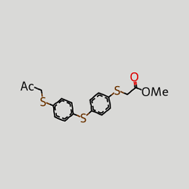 COC(=O)CSc1ccc(Sc2ccc(SCC(C)=O)cc2)cc1